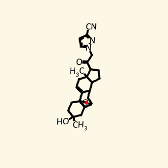 CC1(O)CCC23COC(CC4C2=CCC2(C)C(C(=O)Cn5ccc(C#N)n5)CCC42)C3C1